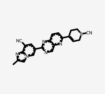 Cc1cn2cc(-c3ncc4nc(C5=CCB(C#N)CC5)ccc4n3)cc(C#N)c2n1